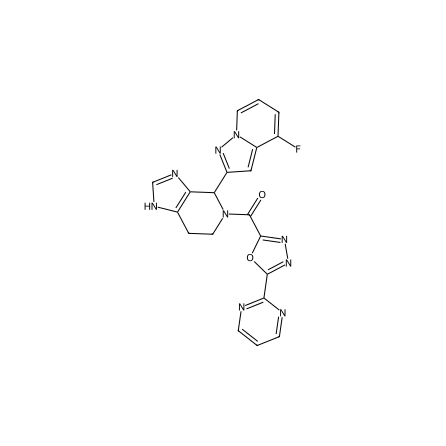 O=C(c1nnc(-c2ncccn2)o1)N1CCc2[nH]cnc2C1c1cc2c(F)cccn2n1